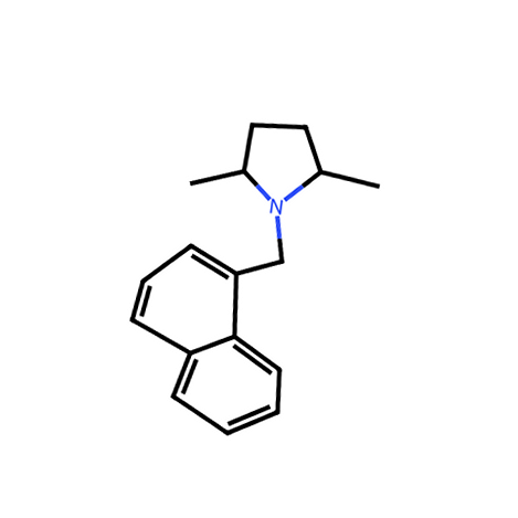 CC1CCC(C)N1Cc1cccc2ccccc12